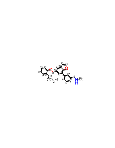 CCNCc1cccc(-c2cc(COc3ccccc3CC(=O)OCC)cc3ccoc23)c1